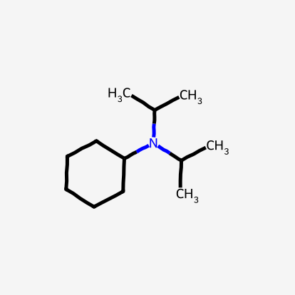 CC(C)N(C(C)C)C1CCCCC1